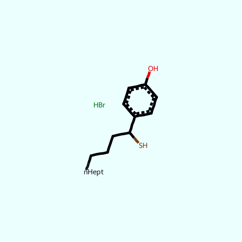 Br.CCCCCCCCCCC(S)c1ccc(O)cc1